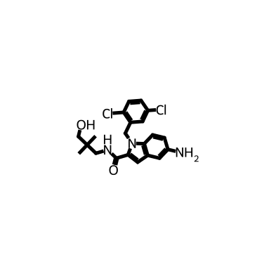 CC(C)(CO)CNC(=O)c1cc2cc(N)ccc2n1Cc1cc(Cl)ccc1Cl